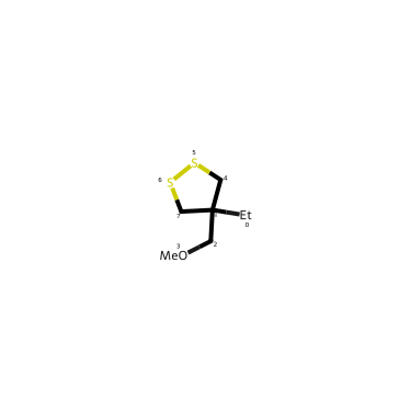 CCC1(COC)CSSC1